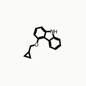 c1ccc2c(c1)[nH]c1cccc(OCC3CC3)c12